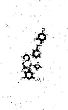 O=C(O)c1cc(F)c2nc(CN3CC[C@H](c4ccnc(COc5ccc(Cl)cc5F)c4)C3)n(C[C@@H]3CCO3)c2c1